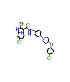 CCc1nc2cc(Cl)ccn2c1C(=O)NCc1ccc(N2CCC(Oc3ccc(Cl)cc3)CC2)cc1